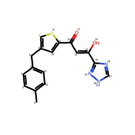 Cc1ccc(Cc2csc(C(=O)C=C(O)c3nc[nH]n3)c2)cc1